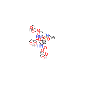 CC(C)CN(C[C@@H](CC(=O)O[C@H]1CO[C@H]2OCCC21)[C@@H](Cc1ccccc1)NC(=O)O[C@H]1CO[C@H]2OCCC21)S(=O)(=O)c1ccc(NC(=O)O[C@@H]2CO[C@@H]3OCC[C@@H]32)cc1